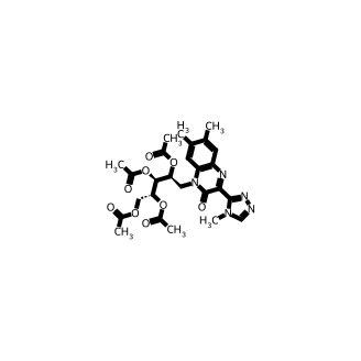 CC(=O)OC[C@@H](OC(C)=O)[C@@H](OC(C)=O)[C@H](Cn1c(=O)c(-c2nncn2C)nc2cc(C)c(C)cc21)OC(C)=O